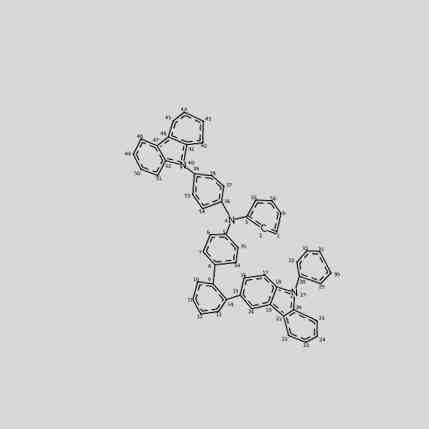 c1ccc(N(c2ccc(-c3ccccc3-c3ccc4c(c3)c3ccccc3n4-c3ccccc3)cc2)c2ccc(-n3c4ccccc4c4ccccc43)cc2)cc1